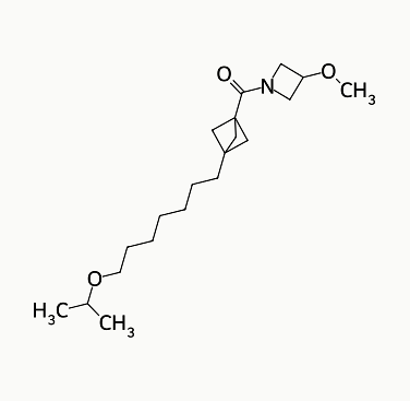 COC1CN(C(=O)C23CC(CCCCCCCOC(C)C)(C2)C3)C1